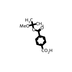 COC(C)(C)OC(=O)c1ccc(C(=O)O)cc1